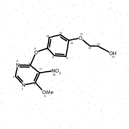 COc1ncnc(Oc2ccc(OCCO)cc2)c1[N+](=O)[O-]